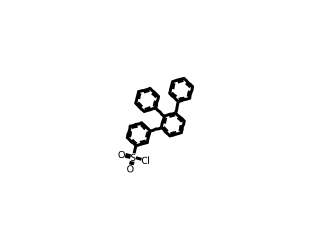 O=S(=O)(Cl)c1cccc(-c2cccc(-c3ccccc3)c2-c2ccccc2)c1